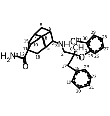 CC(CNC1C2CC3CC1CC(C(N)=O)(C3)C2)(Cc1ccccc1)Oc1ccccc1Cl